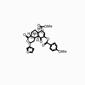 COC(=O)[C@@H]1C=C(OC(=O)c2ccc(OC)cc2)C(=O)[C@H]2[C@@]1(N)CC[C@H]1C(=O)O[C@H](c3ccoc3)C[C@]21N